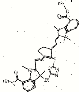 CCCOC(=O)c1cccc2c1N(C)/C(=C/C=C1\CCC(/C=C/C3=[N+](C)c4c(C(=O)OCCC)cccc4C3(C)C)=C1Sc1nnc(CC)s1)C2(C)C